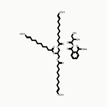 CCCCCCCC/C=C/CCCCCCCC(=O)OCC(COC(=O)CCCCCCC/C=C/CCCCCCCC)OC(=O)CCCCCCC/C=C/CCCCCCCC.COC(=O)c1ccccc1C(=O)OC(=O)C(O)CO